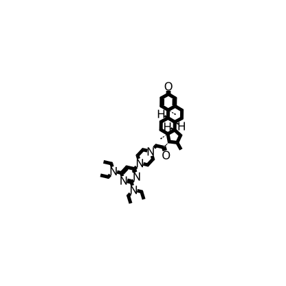 CCN(CC)c1cc(N2CCN(CC(=O)[C@H]3C(C)C[C@H]4[C@@H]5CCC6=CC(=O)C=C[C@]6(C)[C@H]5CC[C@]34C)CC2)nc(N(CC)CC)n1